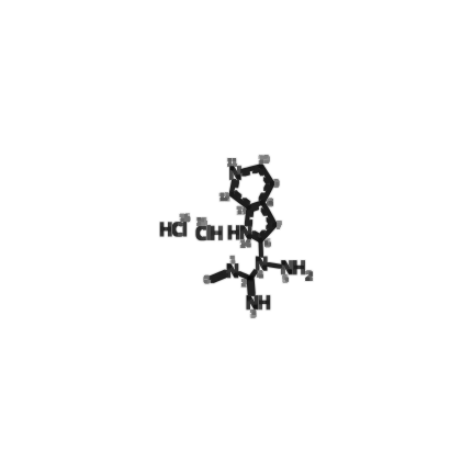 C=NC(=N)N(N)c1cc2ccncc2[nH]1.Cl.Cl